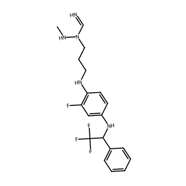 CNN(C=N)CCCNc1ccc(NC(c2ccccc2)C(F)(F)F)cc1F